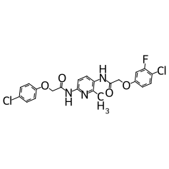 Cc1nc(NC(=O)COc2ccc(Cl)cc2)ccc1NC(=O)COc1ccc(Cl)c(F)c1